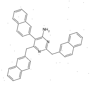 Nc1nc(Cc2ccc3ccccc3c2)nc(Cc2ccc3ccccc3c2)c1-c1ccc2ccccc2c1